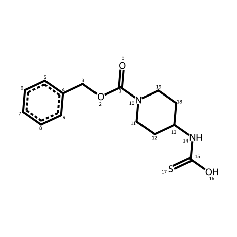 O=C(OCc1ccccc1)N1CCC(NC(O)=S)CC1